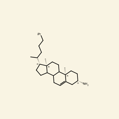 CC(C)CCCC(C)[C@H]1CCC2C3CC=C4C[C@@H](N)CC[C@]4(C)C3CC[C@@]21C